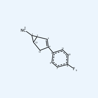 N#CC1C2C=C(c3ccc(F)cc3)CC12